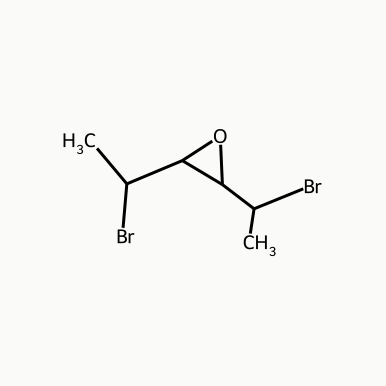 CC(Br)C1OC1C(C)Br